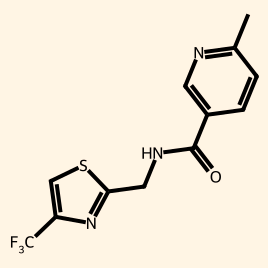 Cc1ccc(C(=O)NCc2nc(C(F)(F)F)cs2)cn1